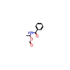 CC(NC(=O)c1ccccc1)OC=O